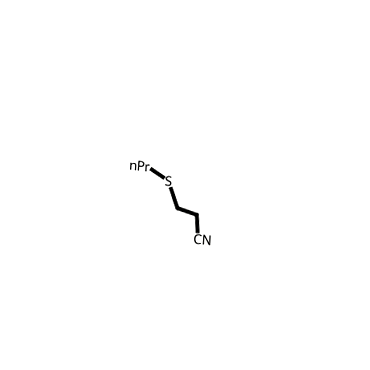 CCCSCCC#N